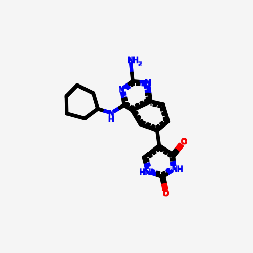 Nc1nc(NC2CCCCC2)c2cc(-c3c[nH]c(=O)[nH]c3=O)ccc2n1